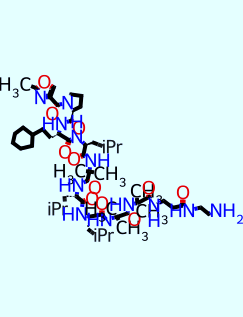 Cc1nc(C(=O)N2CCC[C@H]2C(=O)N[C@@H](CCC2CCCCC2)C(=O)N[C@@H](CC(C)C)C(=O)NC(C)(C)C(=O)N[C@@H](CC(C)C)C(=O)N[C@@H](CC(C)C)C(=O)NC(C)(C)C(=O)NC(C)(C)C(=O)NCCC(=O)NCCN)co1